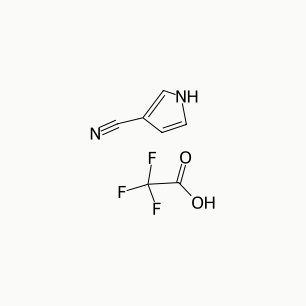 N#Cc1cc[nH]c1.O=C(O)C(F)(F)F